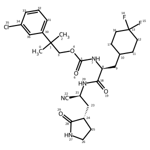 CC(C)(COC(=O)N[C@@H](CC1CCC(F)(F)CC1)C(=O)N[C@H](C#N)C[C@@H]1CCNC1=O)c1cccc(Cl)c1